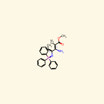 C/C=C(N=P(c1ccccc1)(c1ccccc1)c1ccccc1)\C(N)=C(/C)C(=O)OC